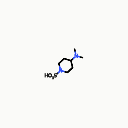 CN(C)C1CCN(S(=O)(=O)O)CC1